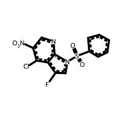 O=[N+]([O-])c1cnc2c(c(F)cn2S(=O)(=O)c2ccccc2)c1Cl